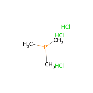 CP(C)C.Cl.Cl.Cl